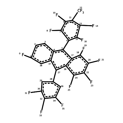 Fc1ccc2c(-c3c(F)c(F)c(C(F)(F)F)c(F)c3F)c3c(F)c(F)c(F)c(F)c3c(-c3cc(F)c(F)c(F)c3)c2c1